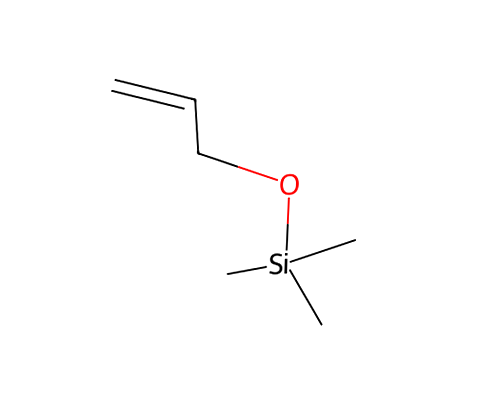 C=CCO[Si](C)(C)C